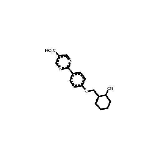 N#CC1CCCCC1COc1ccc(-c2ncc(C(=O)O)cn2)cc1